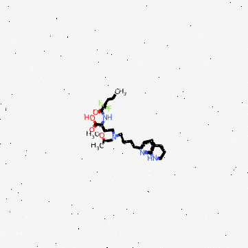 CCCC(F)(F)C(=O)NC(CCN(CCCCc1ccc2c(n1)NCCC2)CC(C)OC)C(=O)O